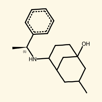 CC1CC2CC(O)(CCC2N[C@@H](C)c2ccccc2)C1